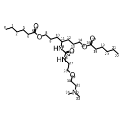 CCCCCC(=O)OCCCC(CCCOC(=O)CCCCC)NC(=O)NCCOCCN(C)C